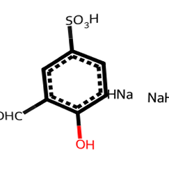 O=Cc1cc(S(=O)(=O)O)ccc1O.[NaH].[NaH]